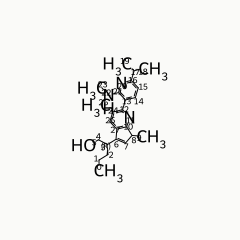 CCC[C@@H](CO)C1=CC(C)c2nc(-c3ccc(C(C)C)nc3NC)c(C)cc21